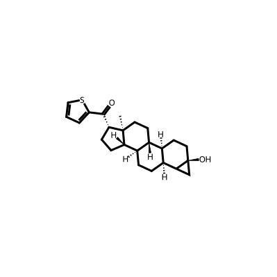 C[C@]12CC[C@@H]3[C@H]4CC[C@]5(O)CC5[C@H]4CC[C@H]3[C@@H]1CC[C@@H]2C(=O)c1cccs1